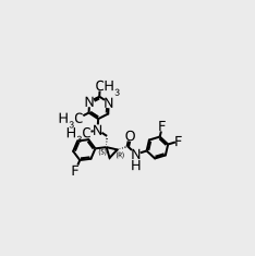 Cc1ncc(N(C)C[C@@]2(c3cccc(F)c3)C[C@H]2C(=O)Nc2ccc(F)c(F)c2)c(C)n1